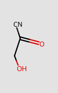 N#CC(=O)CO